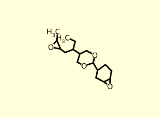 CCC(CC1OC1C)C1COC(C2CCC3OC3C2)OC1